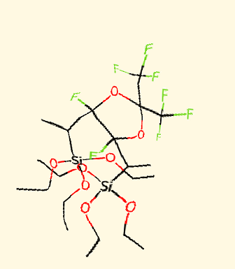 CCO[Si](OCC)(OCC)C(C)C1(F)OC(C(F)(F)F)(C(F)(F)F)OC1(F)C(C)[Si](OCC)(OCC)OCC